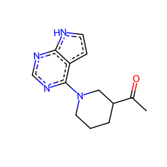 CC(=O)C1CCCN(c2ncnc3[nH]ccc23)C1